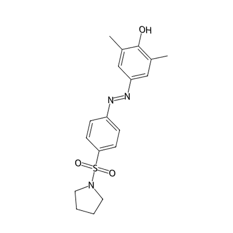 Cc1cc(/N=N/c2ccc(S(=O)(=O)N3CCCC3)cc2)cc(C)c1O